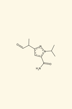 CC(C=O)c1cc(C(N)=O)n(C(C)C)n1